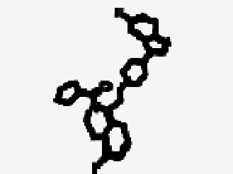 O=C(C1CCCC1)N1CCC2=C(F)CCCC2=C1CCN1CCC(C2=CN=C3CC=C(F)C=C23)CC1